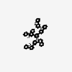 c1ccc2c(c1)ccc1c2c2cc(-c3cccc4c3oc3ccccc34)ccc2n1-c1cc(-c2ccc3c4ccccc4n(-c4ccc5sc6ccccc6c5c4)c3c2)cc(-c2cc3oc4ccccc4c3c3ccccc23)c1